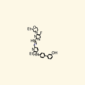 CCc1nc(/C=N/Nc2ncc(F)c(N3CCOC(CC)C3)n2)ccc1Nc1ccc(-c2cccc(O)c2)cc1